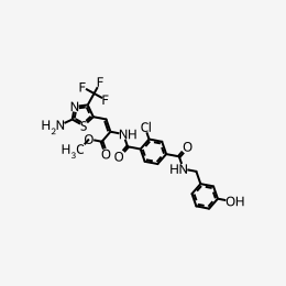 COC(=O)C(=Cc1sc(N)nc1C(F)(F)F)NC(=O)c1ccc(C(=O)NCc2cccc(O)c2)cc1Cl